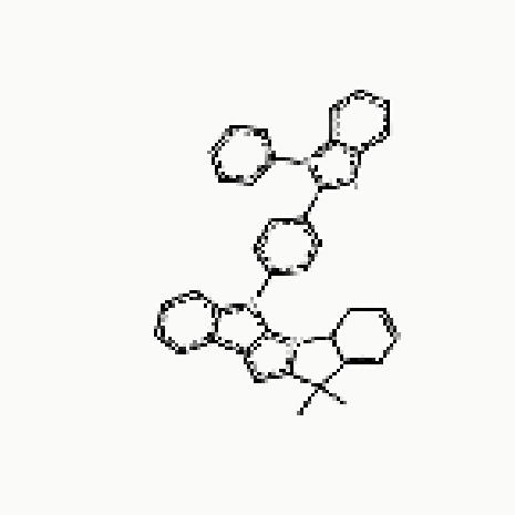 CC1(C)C2=CC=CCC2n2c1cc1c3ccccc3n(-c3ccc(-c4nc5ccccc5n4-c4ccccc4)cc3)c12